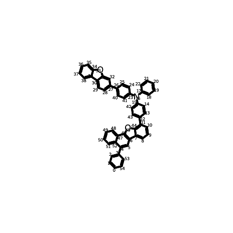 c1ccc(-c2cc3c4cccc(-c5ccc(N(c6ccccc6)c6ccc(-c7ccc8c(c7)oc7ccccc78)cc6)cc5)c4oc3c3ccccc23)cc1